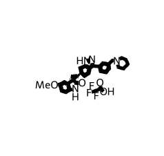 COc1ccc2c(c1)[C@]1(C[C@H]1c1ccc3c(-c4cccc(CN5CCCCC5)c4)n[nH]c3c1)C(=O)N2.O=C(O)C(F)(F)F